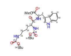 COC(=O)C(Cc1c[nH]c2ccccc12)NC(=O)C(CCCCNC(=O)OC(C)(C)C)NC(=O)OC(C)(C)C